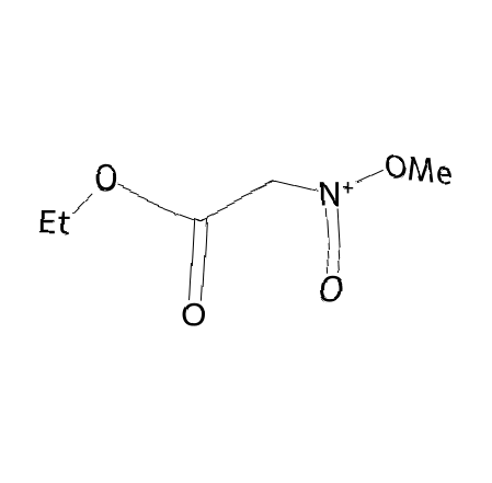 CCOC(=O)C[N+](=O)OC